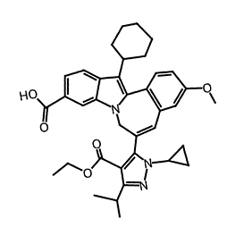 CCOC(=O)c1c(C(C)C)nn(C2CC2)c1C1=Cc2cc(OC)ccc2-c2c(C3CCCCC3)c3ccc(C(=O)O)cc3n2C1